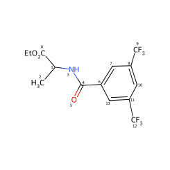 CCOC(=O)C(C)NC(=O)c1cc(C(F)(F)F)cc(C(F)(F)F)c1